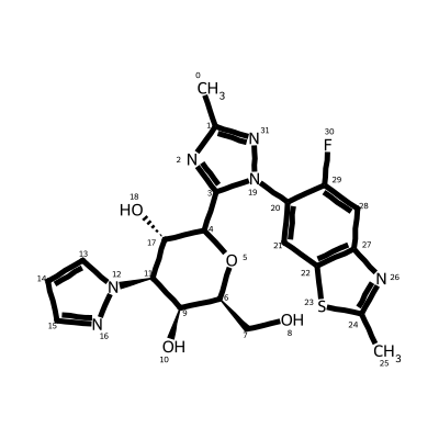 Cc1nc(C2O[C@@H](CO)[C@@H](O)[C@@H](n3cccn3)[C@@H]2O)n(-c2cc3sc(C)nc3cc2F)n1